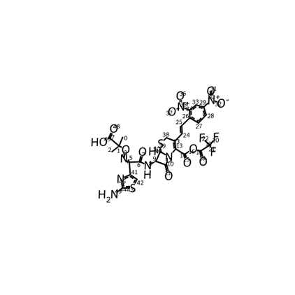 CC(C)(O/N=C(\C(=O)N[C@@H]1C(=O)N2C(C(=O)OC(=O)C(F)(F)F)=C(C=Cc3ccc([N+](=O)[O-])cc3[N+](=O)[O-])CS[C@H]12)c1csc(N)n1)C(=O)O